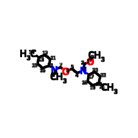 COCN(CCOCN(C)[C@H]1CC[C@H](C)CC1)[C@H]1CC[C@@H](C)CC1